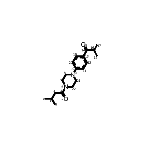 CC(C)CC(=O)N1CCN(c2ccc(C(=O)C(C)C)cc2)CC1